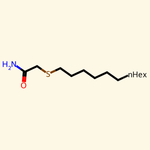 CCCCCCCCCCCCSCC(N)=O